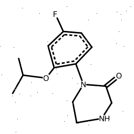 CC(C)Oc1cc(F)ccc1N1CCNCC1=O